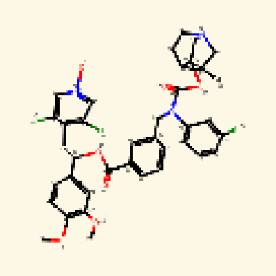 COc1ccc([C@H](Cc2c(Cl)c[n+]([O-])cc2Cl)OC(=O)c2cccc(CN(C(=O)O[C@H]3CN4CCC3CC4)c3cccc(F)c3)c2)cc1OC